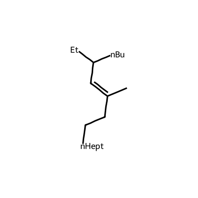 CCCCCCCCCC(C)=CC(CC)CCCC